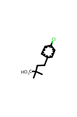 CC(C)(CCc1ccc(Cl)cc1)C(=O)O